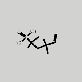 C=CC(C)(C)CC(C)(C)P(=O)(O)O